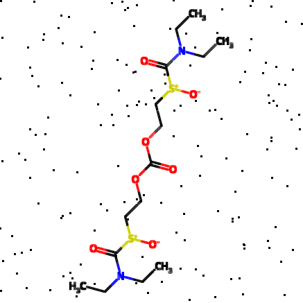 CCN(CC)C(=O)[S+]([O-])CCOC(=O)OCC[S+]([O-])C(=O)N(CC)CC